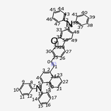 C(=C\c1ccc(N(c2ccccc2)c2ccccc2)c2ccccc12)/c1ccc2c(c1)oc1cc(N(c3ccccc3)c3ccccc3)ccc12